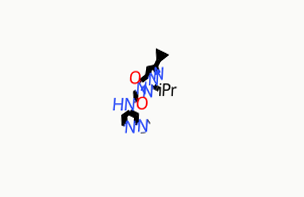 CC(C)c1nn(CC(=O)Nc2ccnc(N(C)C)c2)c(=O)c2cc(C3CC3)nn12